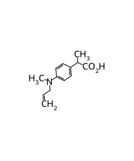 C=CCN(C)c1ccc(C(C)C(=O)O)cc1